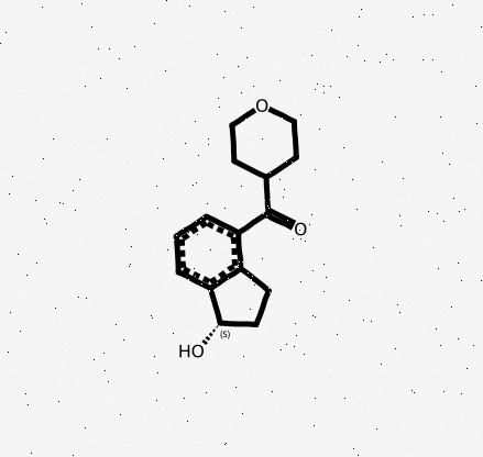 O=C(c1cccc2c1CC[C@@H]2O)C1CCOCC1